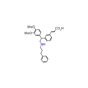 COc1ccc(C(CNCCCc2ccccc2)c2cccc(C=CC(=O)O)c2)cc1OC